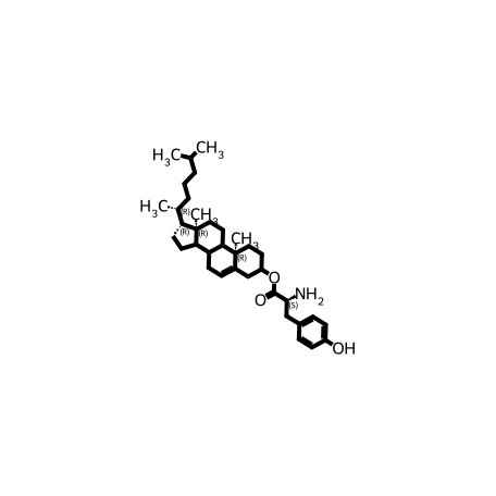 CC(C)CCC[C@@H](C)[C@H]1CCC2C3CC=C4CC(OC(=O)[C@@H](N)Cc5ccc(O)cc5)CC[C@]4(C)C3CC[C@@]21C